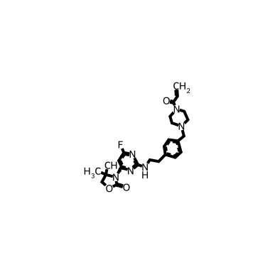 C=CC(=O)N1CCN(Cc2ccc(CCNc3nc(F)cc(N4C(=O)OCC4(C)C)n3)cc2)CC1